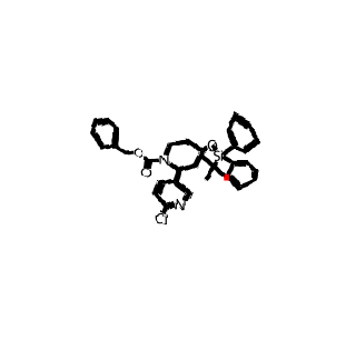 CC(C)(C)[Si](OC1CCN(C(=O)OCc2ccccc2)C(c2ccc(Cl)nc2)C1)(c1ccccc1)c1ccccc1